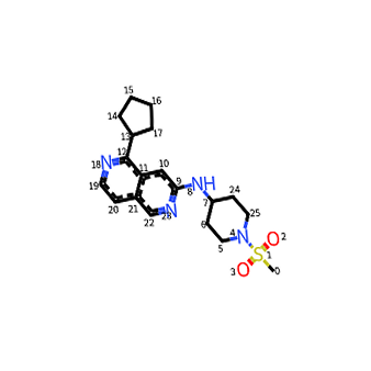 CS(=O)(=O)N1CCC(Nc2cc3c(C4CCCC4)nccc3cn2)CC1